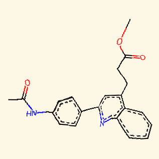 COC(=O)CCc1cc(-c2ccc(NC(C)=O)cc2)nc2ccccc12